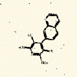 COc1nc(N)c(C#N)c(-c2ccc3cccnc3c2)c1C#N